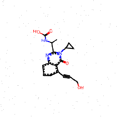 CC(NC(=O)O)c1nc2cccc(C#CCO)c2c(=O)n1C1CC1